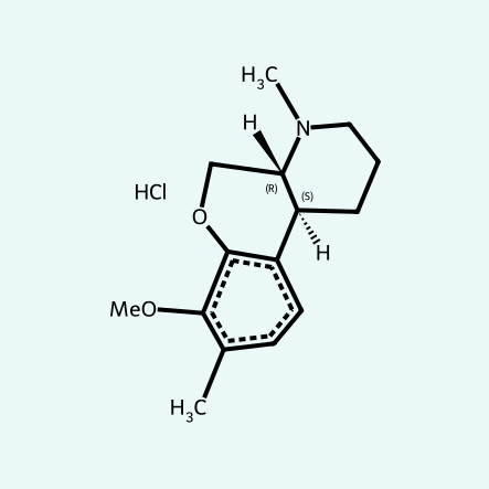 COc1c(C)ccc2c1OC[C@H]1[C@H]2CCCN1C.Cl